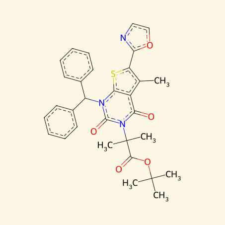 Cc1c(-c2ncco2)sc2c1c(=O)n(C(C)(C)C(=O)OC(C)(C)C)c(=O)n2C(c1ccccc1)c1ccccc1